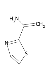 C=C(N)c1nccs1